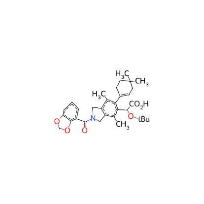 Cc1c2c(c(C)c(C(OC(C)(C)C)C(=O)O)c1C1=CCC(C)(C)CC1)CN(C(=O)c1cccc3c1OCO3)C2